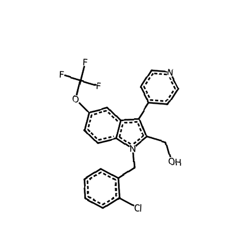 OCc1c(-c2ccncc2)c2cc(OC(F)(F)F)ccc2n1Cc1ccccc1Cl